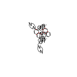 CN1CCN(CCCC2([N+](=O)[O-])C=CC=NC2Nc2ccccc2C(=O)c2ccccc2-c2ccccc2NC2N=CC=CC2(CCCN2CCN(C)CC2)[N+](=O)[O-])CC1